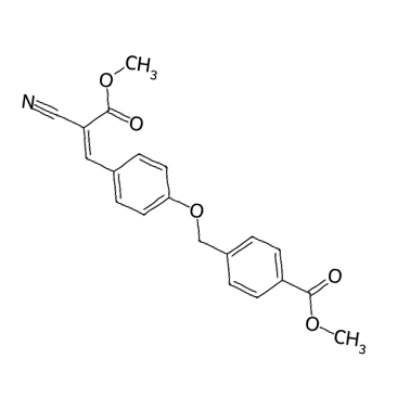 COC(=O)C(C#N)=Cc1ccc(OCc2ccc(C(=O)OC)cc2)cc1